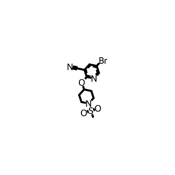 CS(=O)(=O)N1CCC(Oc2ncc(Br)cc2C#N)CC1